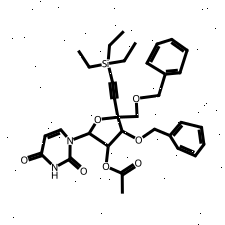 CC[Si](C#CC1(COCc2ccccc2)OC(n2ccc(=O)[nH]c2=O)C(OC(C)=O)C1OCc1ccccc1)(CC)CC